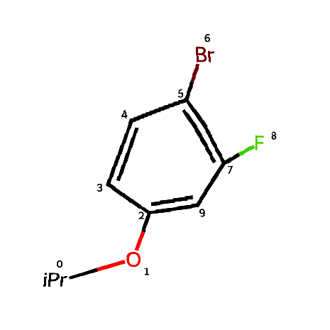 CC(C)Oc1ccc(Br)c(F)c1